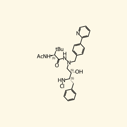 CC(=O)N[C@H](C(=O)NN(Cc1ccc(-c2ccccn2)cc1)C[C@H](O)[C@H](Cc1ccccc1)NCl)C(C)(C)C